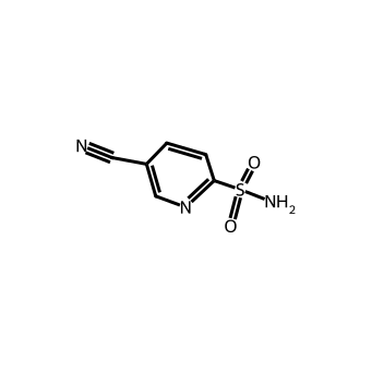 N#Cc1ccc(S(N)(=O)=O)nc1